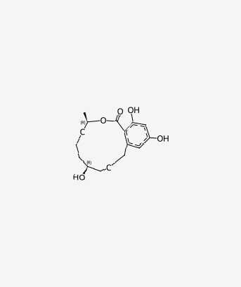 C[C@@H]1CCC[C@H](O)CCCc2cc(O)cc(O)c2C(=O)O1